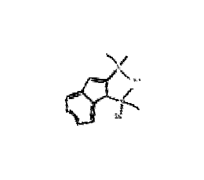 CC(C)(C)[Si](C)(C)C1=Cc2ccccc2C1[Si](C)(C)C(C)(C)C